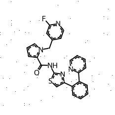 O=C(Nc1nc(-c2ccccc2-c2ccccn2)cs1)c1cccn1Cc1ccnc(F)c1